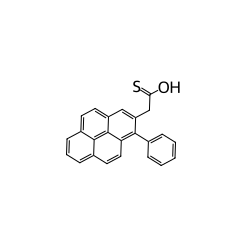 OC(=S)Cc1cc2ccc3cccc4ccc(c1-c1ccccc1)c2c34